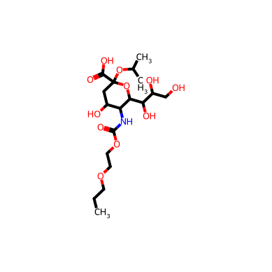 CCCOCCOC(=O)NC1C(O)CC(OC(C)C)(C(=O)O)OC1C(O)C(O)CO